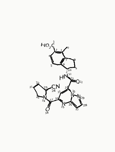 Cc1c(C(=O)O)ccc2c1CC[C@@H]2NC(=O)c1cc(C(=O)N2CCCC2C#N)nc2ccnn12